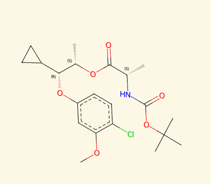 COc1cc(O[C@H](C2CC2)[C@H](C)OC(=O)[C@H](C)NC(=O)OC(C)(C)C)ccc1Cl